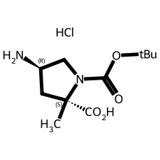 CC(C)(C)OC(=O)N1C[C@H](N)C[C@@]1(C)C(=O)O.Cl